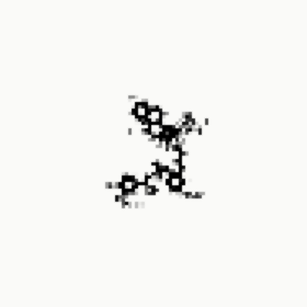 COc1ccc(CC(C)NCC(O)c2ccc(O)c(NC=O)c2)c(CCCC2OC3CC4C5CCC6=CC(=O)C=CC6(C)C5C(O)CC4(C)C3(C(=O)COP(=O)(O)O)O2)c1